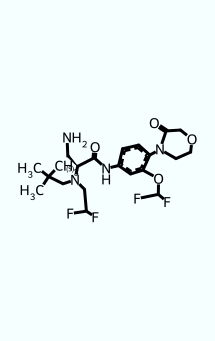 CC(C)(C)CN(CC(F)F)[C@@H](CN)C(=O)Nc1ccc(N2CCOCC2=O)c(OC(F)F)c1